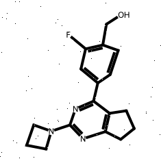 OCc1ccc(-c2nc(N3CCC3)nc3c2CCC3)cc1F